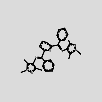 Cc1nn(C)c(C)c1/N=C(\c1ccccc1)c1cccc(/C(=N/c2c(C)nn(C)c2C)c2ccccc2)n1